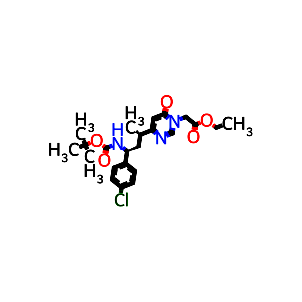 CCOC(=O)Cn1cnc([C@H](C)C[C@H](NC(=O)OC(C)(C)C)c2ccc(Cl)cc2)cc1=O